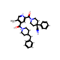 Cc1cnc(C(=O)N2CCC(C#N)(c3ccccc3)CC2)cc1C(=O)N1CCC(Cc2ccccc2)CC1